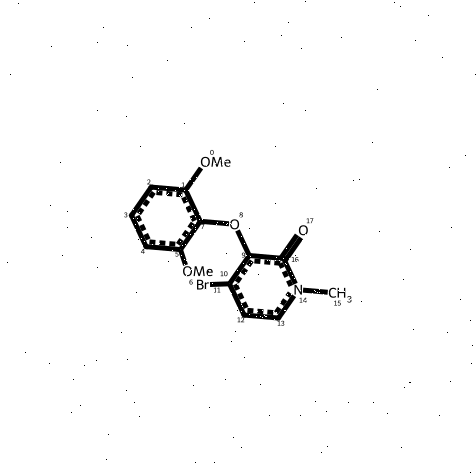 COc1cccc(OC)c1Oc1c(Br)ccn(C)c1=O